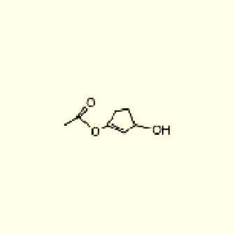 CC(=O)OC1=CC(O)CC1